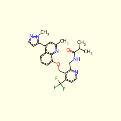 Cc1cc(-c2ccnn2C)c2cccc(OCc3c(C(F)(F)F)ccnc3CNC(=O)C(C)C)c2n1